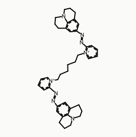 c1cc[n+](CCCCCC[n+]2ccccc2N=Nc2cc3c4c(c2)CCCN4CCC3)c(N=Nc2cc3c4c(c2)CCCN4CCC3)c1